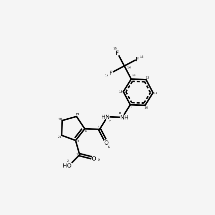 O=C(O)C1=C(C(=O)NNc2cccc(C(F)(F)F)c2)CCC1